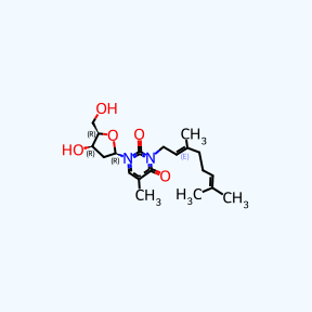 CC(C)=CCC/C(C)=C/Cn1c(=O)c(C)cn([C@H]2C[C@@H](O)[C@@H](CO)O2)c1=O